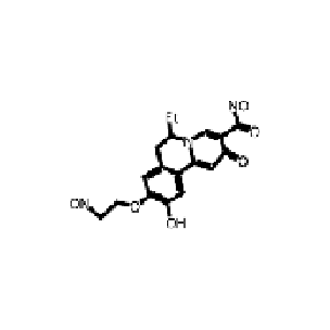 CCC1Cc2cc(OCCN=O)c(O)cc2-c2cc(=O)c(C(=O)N=O)cn21